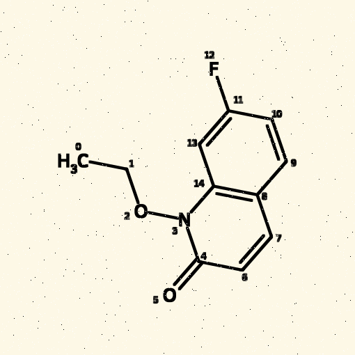 CCOn1c(=O)ccc2ccc(F)cc21